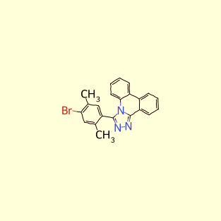 Cc1cc(-c2nnc3c4ccccc4c4ccccc4n23)c(C)cc1Br